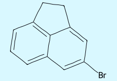 Brc1cc2c3c(cccc3c1)CC2